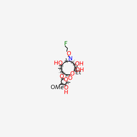 CC[C@H]1OC(=O)[C@H](C)[C@@H](O[C@H]2C[C@@](C)(OC)[C@@H](O)[C@H](C)O2)[C@H](C)[C@@H](C)[C@](C)(O)C[C@@H](C)/C(=N\COCCCF)[C@H](C)[C@@H](O)[C@]1(C)O